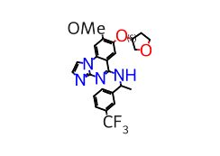 COc1cc2c(cc1O[C@H]1CCOC1)c(NC(C)c1cccc(C(F)(F)F)c1)nc1nccn12